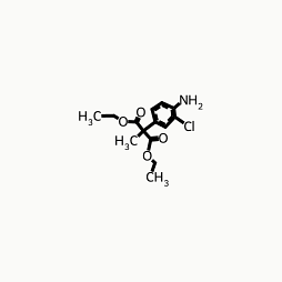 CCOC(=O)C(C)(C(=O)OCC)c1ccc(N)c(Cl)c1